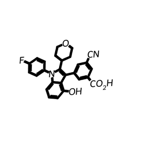 N#Cc1cc(C(=O)O)cc(-c2c(C3CCOCC3)n(-c3ccc(F)cc3)c3cccc(O)c23)c1